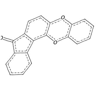 O=c1c2ccccc2c2c1ccc1oc3ccccc3oc12